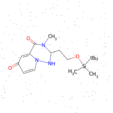 CN1C(=O)c2cc(=O)ccn2NC1CCO[Si](C)(C)C(C)(C)C